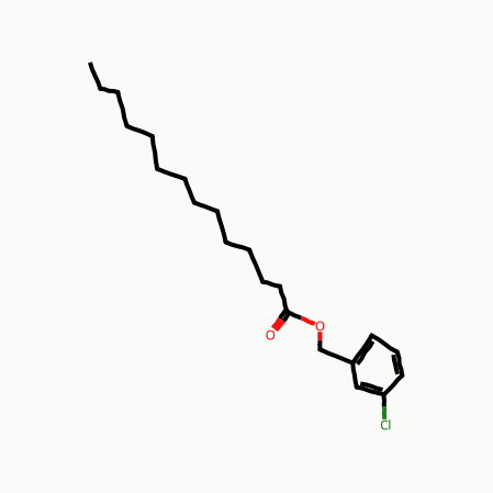 CCCCCCCCCCCCCC(=O)OCc1cccc(Cl)c1